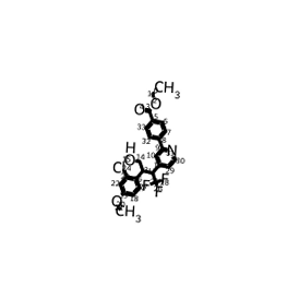 CCOC(=O)c1ccc(-c2cc(C(C(CO)c3ccc(OC)cc3Cl)C(F)(F)F)ccn2)cc1